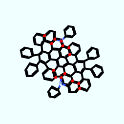 c1ccc(-c2c(-c3ccccc3)c(-c3ccccc3)c(-c3c4ccc(N(c5ccccc5)c5ccccc5)cc4c(-c4c(-c5ccccc5)c(-c5ccccc5)c(-c5ccccc5)c(-c5ccccc5)c4-c4ccccc4)c4ccc(N(c5ccccc5)c5ccccc5)cc34)c(-c3ccccc3)c2-c2ccccc2)cc1